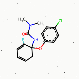 CN(C)C(=O)NC1(Oc2ccc(Cl)cc2)CC=CC=C1F